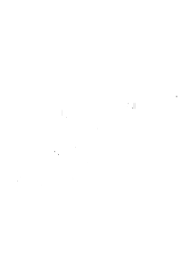 Cc1c(CNC2CCCC2O)cc(F)c2oc(C(C)C)nc12